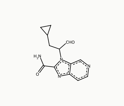 NC(=O)c1nc2ccncc2n1C(C=O)CC1CC1